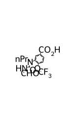 CCCN(C(=O)NC=O)c1cc(C(=O)O)ccc1OC(F)(F)F